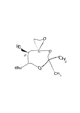 CC1(C)OC(C(C)(C)C)[C@@H](O)[C@]2(CO2)O1